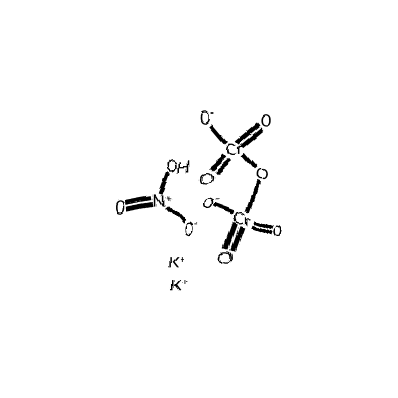 O=[N+]([O-])O.[K+].[K+].[O]=[Cr](=[O])([O-])[O][Cr](=[O])(=[O])[O-]